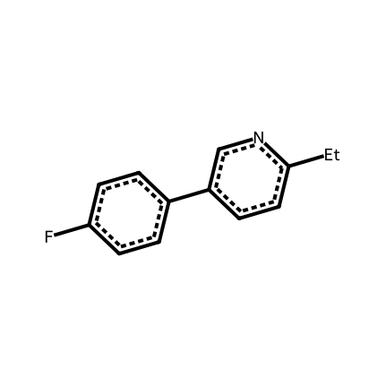 CCc1ccc(-c2ccc(F)cc2)cn1